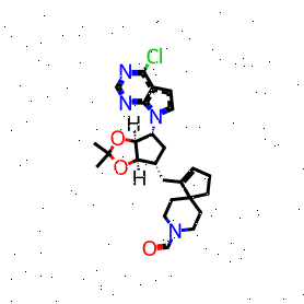 CC1(C)O[C@@H]2[C@@H](CC3=CCCC34CCN(C=O)CC4)C[C@@H](n3ccc4c(Cl)ncnc43)[C@@H]2O1